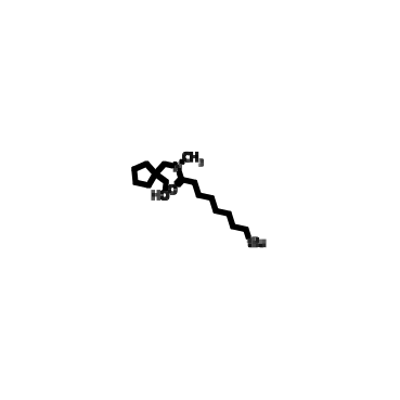 CN(CC1(CO)CCCC1)C(=O)CCCCCCCC(C)(C)C